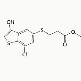 COC(=O)CCSc1cc(Cl)c2scc(O)c2c1